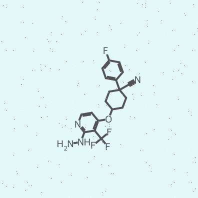 N#CC1(c2ccc(F)cc2)CCC(Oc2ccnc(NN)c2C(F)(F)F)CC1